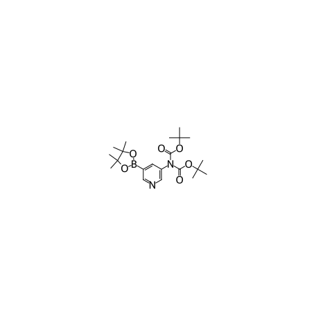 CC(C)(C)OC(=O)N(C(=O)OC(C)(C)C)c1cncc(B2OC(C)(C)C(C)(C)O2)c1